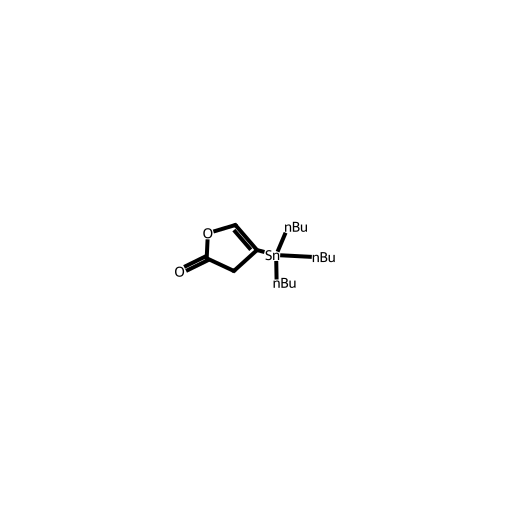 CCC[CH2][Sn]([CH2]CCC)([CH2]CCC)[C]1=COC(=O)C1